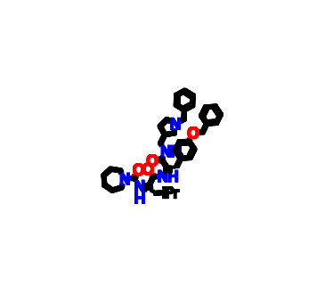 CC(C)C[C@H](NC(=O)N1CCCCCC1)C(=O)N[C@@H](Cc1ccc(OCc2ccccc2)cc1)C(=O)NCC1CCN(Cc2ccccc2)C1